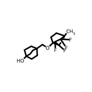 CC12CCC(OCC34CCC(O)(CC3)CC4)(CC1)C(F)(F)C2(F)F